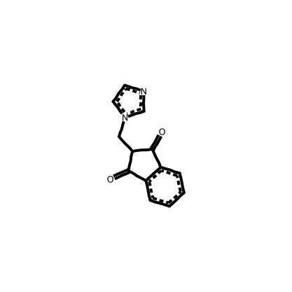 O=C1c2ccccc2C(=O)C1Cn1ccnc1